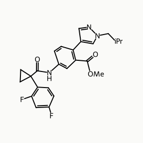 COC(=O)c1cc(NC(=O)C2(c3ccc(F)cc3F)CC2)ccc1-c1cnn(CC(C)C)c1